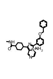 CNC(=O)C1CCC(C2=C3C=NC=C[N+]3(N)C(c3cccc(OCc4ccccc4)c3)=N2)CC1